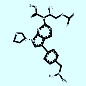 C[C@@H](COC(F)F)N(C(=O)OC(C)(C)C)c1ncc2c(-c3ccc(CN(C)C)cc3)cn([C@@H]3CCOC3)c2n1